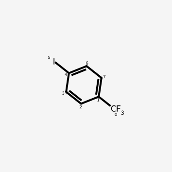 FC(F)(F)c1c[c]c(I)cc1